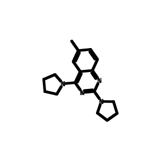 Cc1ccc2nc(N3CCCC3)nc(N3CCCC3)c2c1